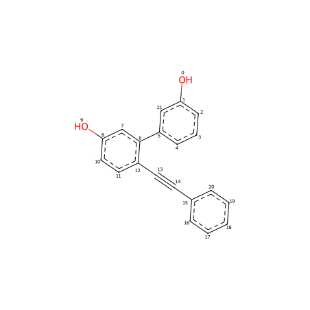 Oc1cccc(-c2cc(O)ccc2C#Cc2ccccc2)c1